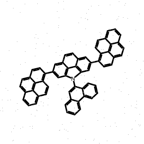 c1ccc2c(c1)cc(-n1c3cc(-c4ccc5ccc6cccc7ccc4c5c67)cc4ccc5cc(-c6ccc7ccc8cccc9ccc6c7c89)cc1c5c43)c1ccccc12